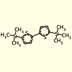 C[Si](C)(C)c1ccc(-c2ccc([Si](C)(C)C)s2)s1